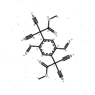 COC(=O)C(C#N)(C#N)c1cc(C=S)c(C(C#N)(C#N)C(=O)OC)cc1C=S